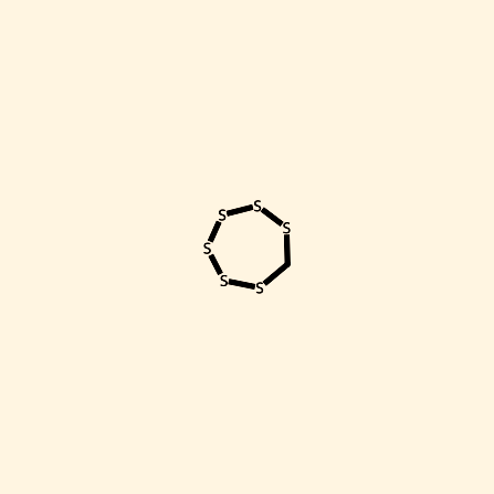 C1SSSSSS1